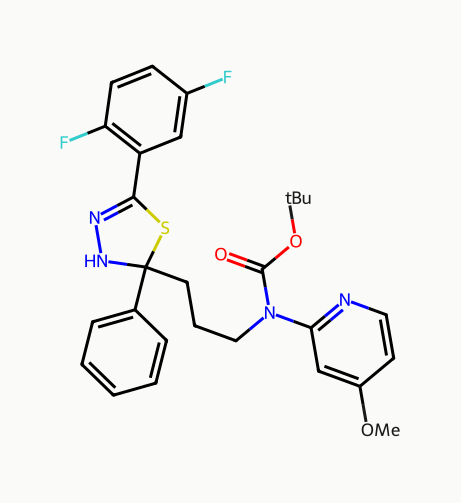 COc1ccnc(N(CCCC2(c3ccccc3)NN=C(c3cc(F)ccc3F)S2)C(=O)OC(C)(C)C)c1